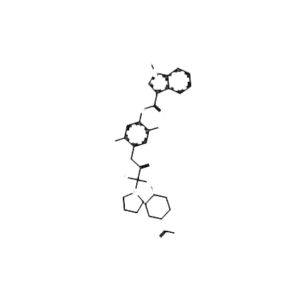 Cn1cc(C(=O)Nc2cc(F)c(CC(=O)C(F)(O[C@H]3CC[C@H](C(=O)O)CC3)N3CCCC3)cc2F)c2ccccc21